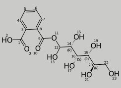 O=C(O)c1ccccc1C(=O)OC(O)[C@H](O)[C@@H](O)[C@H](O)[C@H](O)CO